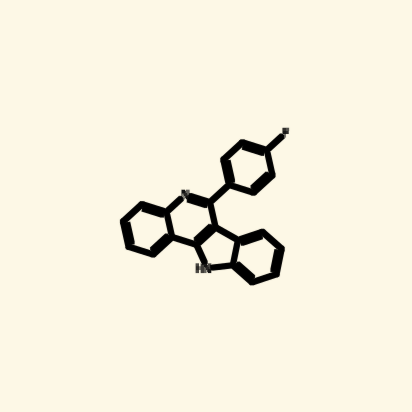 Fc1ccc(-c2nc3ccccc3c3[nH]c4ccccc4c23)cc1